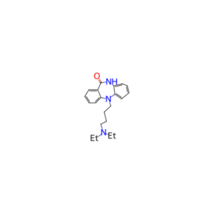 CCN(CC)CCCCN1c2ccccc2NC(=O)c2ccccc21